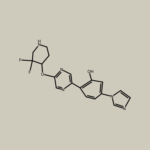 Oc1cc(-n2ccnc2)ccc1-c1cnc(OC2CCNCC2(F)F)cn1